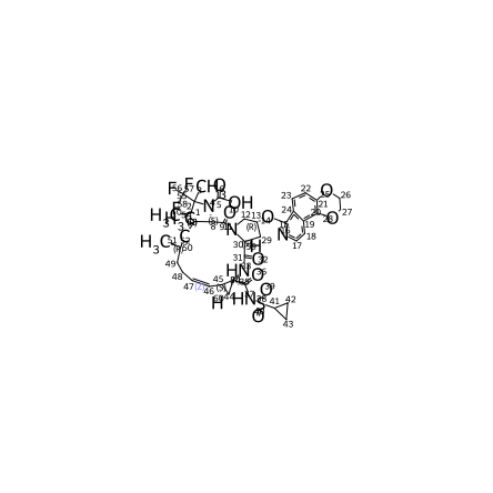 CCC(C)(N(C(=O)O)[C@@H]1C(=O)N2C[C@H](Oc3nccc4c5c(ccc34)OCCO5)C[C@H]2C(=O)N[C@]2(C(=O)NS(=O)(=O)C3CC3)C[C@H]2/C=C\CC[C@@H](C)C[C@H]1C)C(F)(F)F